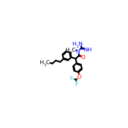 CCCCc1cccc(C(C(=O)N(C)C(=N)N)c2ccc(OC(F)F)cc2)c1